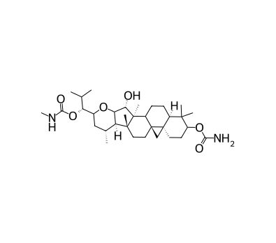 CNC(=O)O[C@H](C(C)C)C1C[C@@H](C)[C@H]2C(O1)[C@H](O)[C@@]1(C)C3CC[C@H]4C(C)(C)C(OC(N)=O)CC[C@@]45C[C@@]35CC[C@]21C